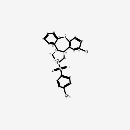 Cc1ccc(S(=O)(=O)OC[C@@H]2c3cc(Cl)ccc3Oc3ccccc3[C@H]2C[N+](=O)[O-])cc1